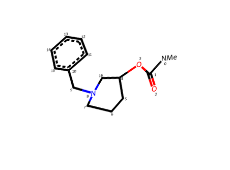 CNC(=O)OC1CCCN(Cc2ccccc2)C1